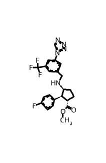 COC(=O)[C@H]1CC[C@H](NCc2cc(-n3cnnn3)cc(C(F)(F)F)c2)[C@@H]1c1ccc(F)cc1